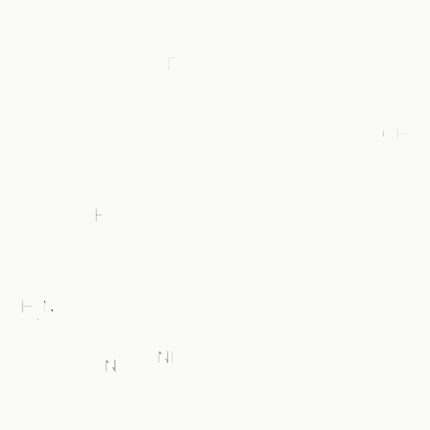 Nc1n[nH]c2cc(-c3ccc(O)cc3)c(Cc3c(F)cccc3F)cc12